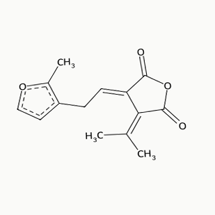 CC(C)=C1C(=O)OC(=O)/C1=C/Cc1ccoc1C